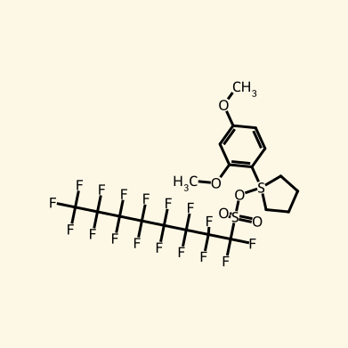 COc1ccc(S2(OS(=O)(=O)C(F)(F)C(F)(F)C(F)(F)C(F)(F)C(F)(F)C(F)(F)C(F)(F)C(F)(F)F)CCCC2)c(OC)c1